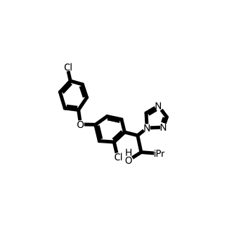 CC(C)C(O)C(c1ccc(Oc2ccc(Cl)cc2)cc1Cl)n1cncn1